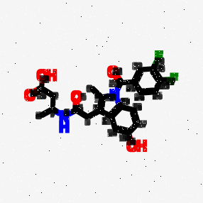 Cc1c(CC(=O)NC(C)CC(=O)O)c2cc(O)ccc2n1C(=O)c1ccc(F)c(F)c1